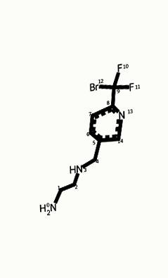 NCCNCc1ccc(C(F)(F)Br)nc1